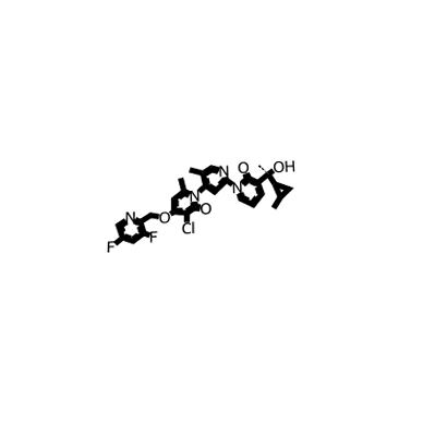 Cc1cnc(-n2cccc([C@@](C)(O)C3CC3C)c2=O)cc1-n1c(C)cc(OCc2ncc(F)cc2F)c(Cl)c1=O